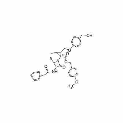 COc1ccc(COC(=O)[C@@]23C(COc4ccc(CO)cc4)C2CSC2C(NC(=O)Cc4ccccc4)C(=O)N23)cc1